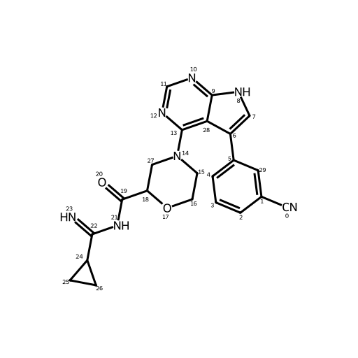 N#Cc1cccc(-c2c[nH]c3ncnc(N4CCOC(C(=O)NC(=N)C5CC5)C4)c23)c1